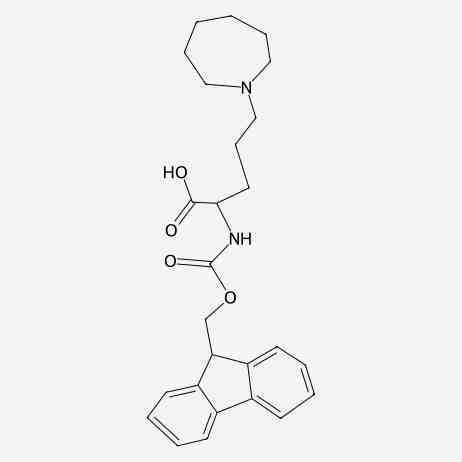 O=C(NC(CCCN1CCCCCC1)C(=O)O)OCC1c2ccccc2-c2ccccc21